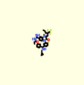 CC/C=C(/C=C(/C(=O)Nc1cc(C(NCC2CC2)c2ccccc2)ccc1F)N(C)c1cccc(C(=N)NC(=O)CC)c1)C(F)(F)F